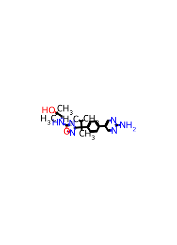 CC(C)C(C)(c1ccc(-c2cnc(N)nc2)cc1)c1noc(NCC(C)(C)O)n1